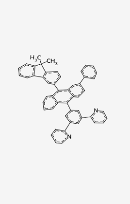 CC1(C)c2ccccc2-c2cc(-c3c4ccccc4c(-c4cc(-c5ccccn5)cc(-c5ccccn5)c4)c4ccc(-c5ccccc5)cc34)ccc21